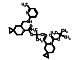 CC(C)(C)OC(=O)N1CCC2(CC2)CC1C=O.Cc1cccc(NCC2CC3(CCN2C(=O)OC(C)(C)C)CC3)n1